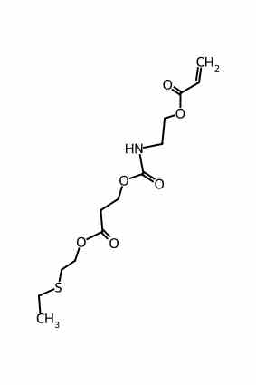 C=CC(=O)OCCNC(=O)OCCC(=O)OCCSCC